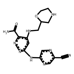 N#Cc1cnc(Nc2cc(NCC3CNCCO3)c(C(N)=O)nn2)cn1